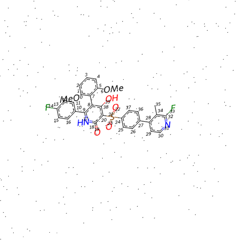 COc1cccc(OC)c1-c1c(-c2ccc(F)cc2)[nH]c(=O)c(S(=O)(=O)c2ccc(-c3ccnc(F)c3C)cc2)c1O